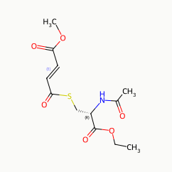 CCOC(=O)[C@H](CSC(=O)/C=C/C(=O)OC)NC(C)=O